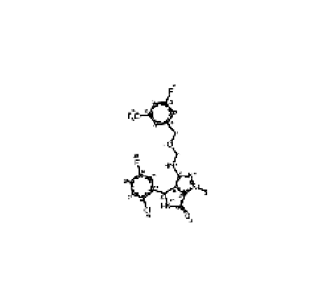 Cn1nc(NCOCc2cc(F)cc(C(F)(F)F)c2)c2c1C(=O)NC2c1cc(F)ccc1Cl